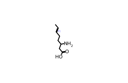 C/C=C/CCC(N)CC(=O)O